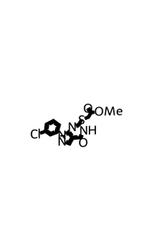 COC(=O)CSc1nc2c(cnn2-c2cccc(Cl)c2)c(=O)[nH]1